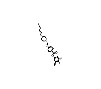 CCCCCC[C@H]1CC[C@H](COc2ccc(C(=O)Oc3cc(F)c(F)c(F)c3)cc2)CC1